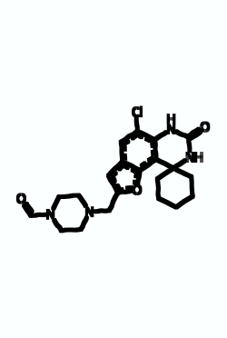 O=CN1CCN(Cc2cc3cc(Cl)c4c(c3o2)C2(CCCCC2)NC(=O)N4)CC1